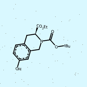 CCOC(=O)[C@@H]1Cc2ccc(O)cc2CN1C(=O)OC(C)(C)C